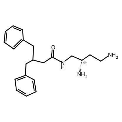 NCC[C@H](N)CNC(=O)CC(Cc1ccccc1)Cc1ccccc1